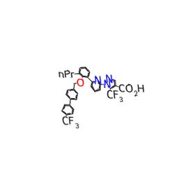 CCCc1cccc(-c2cccc(-n3ncc(C(=O)O)c3C(F)(F)F)n2)c1OCc1ccc(-c2ccc(C(F)(F)F)cc2)cc1